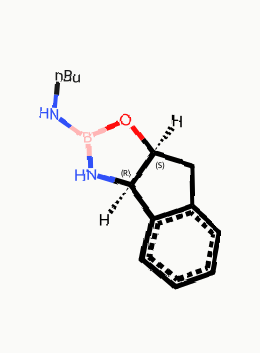 CCCCNB1N[C@@H]2c3ccccc3C[C@@H]2O1